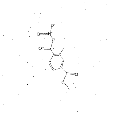 COC(=O)c1ccc(C(=O)O[N+](=O)[O-])c(C)c1